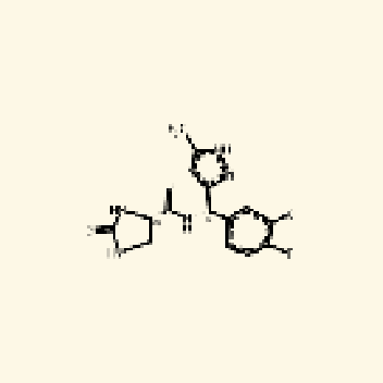 O=C1NC[C@@H](C(=O)N[C@@H](c2ccc(F)c(Cl)c2)c2cc(C(F)(F)F)[nH]n2)N1